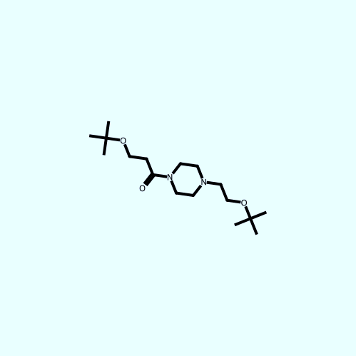 CC(C)(C)OCCC(=O)N1CCN(CCOC(C)(C)C)CC1